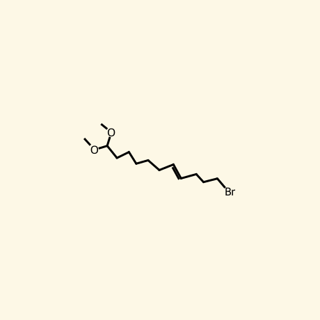 COC(CCCCC/C=C/CCCBr)OC